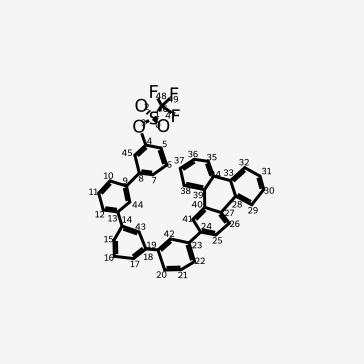 O=S(=O)(Oc1cccc(-c2cccc(-c3cccc(-c4cccc(-c5ccc6c7ccccc7c7ccccc7c6c5)c4)c3)c2)c1)C(F)(F)F